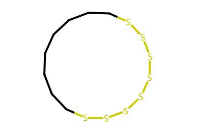 C1CCCCSSSSSSSSCCC1